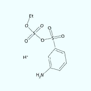 CCOS(=O)(=O)OS(=O)(=O)c1cccc(N)c1.[H+]